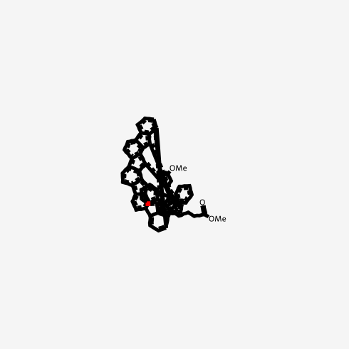 COC(=O)CCCC1(c2ccccc2)C(CCCC(=O)OC)(c2ccccc2)C23C4=CC=C5c6ccc7c8ccc9c%10ccc%11c%12ccc4c4c2c2c%13c(c6c7c6c8c9c7c%10c%11c(c4%12)c2c7c%136)C513